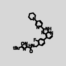 CC(C)(C)c1nc(C(=O)NCc2ccc(-c3ccnc4[nH]c(-c5ccc(N6CCCCC6)cn5)nc34)cc2F)no1